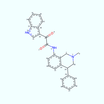 CN1Cc2c(NC(=O)C(=O)c3c[nH]c4ccccc34)cccc2C(c2ccccc2)C1